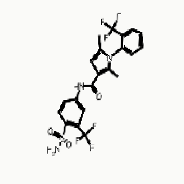 Cc1cc(C(=O)Nc2ccc(S(N)(=O)=O)c(C(F)(F)F)c2)c(C)n1-c1ccccc1C(F)(F)F